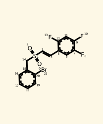 O=S(=O)(C=Cc1cc(F)c(F)cc1F)Cc1ccccc1Br